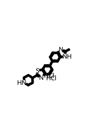 Cc1nc2ccc(-c3ccc4nc(C5CCNCC5)sc4c3)cc2[nH]1.Cl.Cl